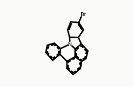 BrC1=CC2c3ccc4cccc5c4c3N(c3ccccc3-5)C2C=C1